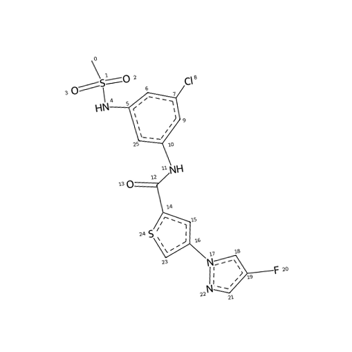 CS(=O)(=O)Nc1cc(Cl)cc(NC(=O)c2cc(-n3cc(F)cn3)cs2)c1